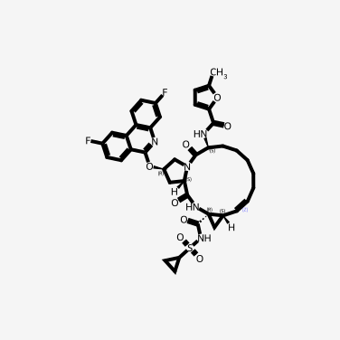 Cc1ccc(C(=O)N[C@H]2CCCCC/C=C\[C@@H]3C[C@@]3(C(=O)NS(=O)(=O)C3CC3)NC(=O)[C@@H]3C[C@@H](Oc4nc5cc(F)ccc5c5cc(F)ccc45)CN3C2=O)o1